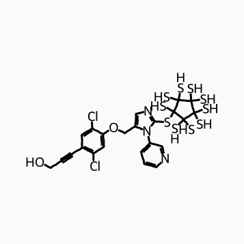 OCC#Cc1cc(Cl)c(OCc2cnc(SC3(S)C(S)(S)C(S)(S)C(S)(S)C3(S)S)n2-c2cccnc2)cc1Cl